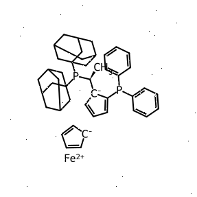 C[C@@H]([c-]1cccc1P(c1ccccc1)c1ccccc1)P(C12CC3CC(CC(C3)C1)C2)C12CC3CC(CC(C3)C1)C2.[Fe+2].c1cc[cH-]c1